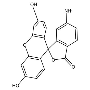 [NH]c1ccc2c(c1)C1(OC2=O)c2ccc(O)cc2Oc2cc(O)ccc21